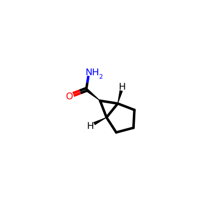 NC(=O)[C@H]1[C@@H]2CCC[C@@H]21